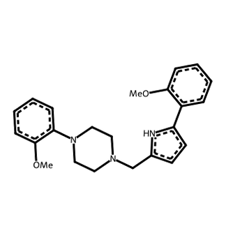 COc1ccccc1-c1ccc(CN2CCN(c3ccccc3OC)CC2)[nH]1